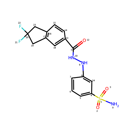 NS(=O)(=O)c1cccc(NNC(=O)c2ccc3c(c2)CC(F)(F)C3)c1